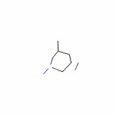 CC(=O)O.CCCCC1CCCN(CCC)C1